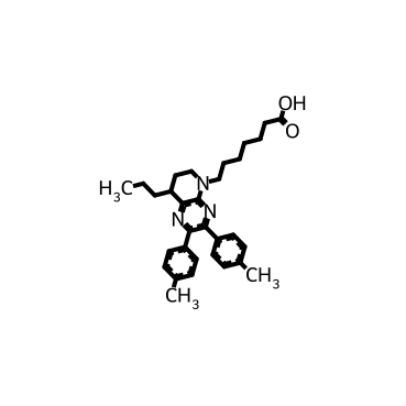 CCCC1CCN(CCCCCCC(=O)O)c2nc(-c3ccc(C)cc3)c(-c3ccc(C)cc3)nc21